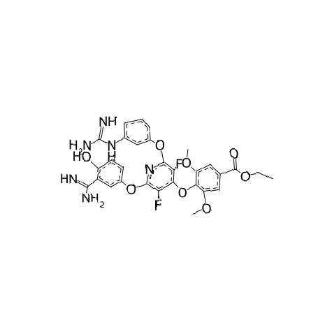 CCOC(=O)c1cc(OC)c(Oc2c(F)c(Oc3cccc(NC(=N)N)c3)nc(Oc3ccc(O)c(C(=N)N)c3)c2F)c(OC)c1